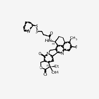 CC[C@@]1(O)C(=O)OCc2c1cc1n(c2=O)Cc2c-1nc1cc(F)c(C)c3c1c2[C@@H](NC(=O)CCSSc1ccccn1)CC3